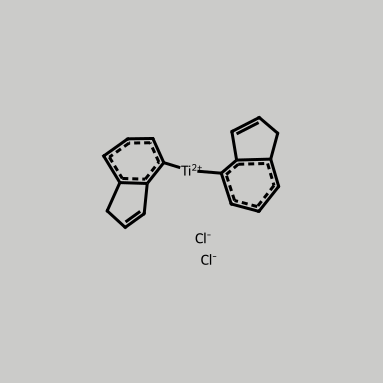 C1=Cc2c(ccc[c]2[Ti+2][c]2cccc3c2C=CC3)C1.[Cl-].[Cl-]